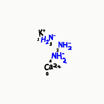 [Ca+2].[K+].[NH2-].[NH2-].[NH2-]